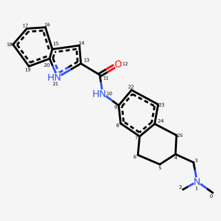 CN(C)CC1CCc2cc(NC(=O)c3cc4ccccc4[nH]3)ccc2C1